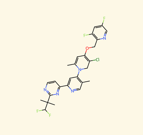 CC1=CC(OCc2ncc(F)cc2F)=C(Cl)CN1c1cc(-c2ccnc(C(C)(C)C(F)F)n2)ncc1C